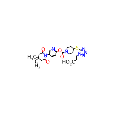 CC1(C)CC(=O)N(c2ccc(OC(=O)N3CCC(Sc4nnnn4CCC(=O)O)CC3)nc2)C(=O)C1